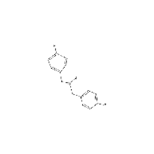 Fc1ccc(CN(I)Cc2ccc(F)cc2)cc1